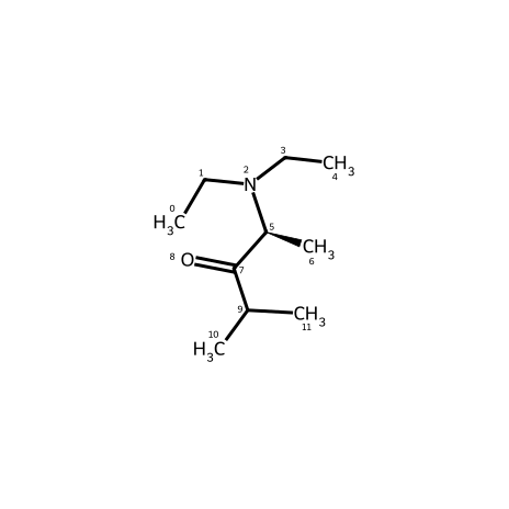 CCN(CC)[C@@H](C)C(=O)C(C)C